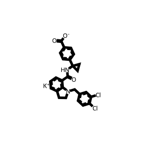 O=C([O-])c1ccc(C2(NC(=O)c3cccc4c3N(Cc3ccc(Cl)c(Cl)c3)CC4)CC2)cc1.[K+]